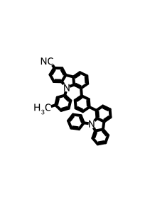 Cc1cccc(-n2c3ccc(C#N)cc3c3cccc(-c4cccc(-c5cccc6c7ccccc7n(-c7ccccc7)c56)c4)c32)c1